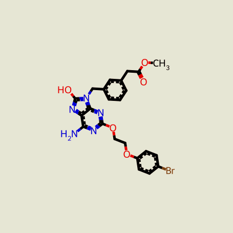 COC(=O)Cc1cccc(Cn2c(O)nc3c(N)nc(OCCOc4ccc(Br)cc4)nc32)c1